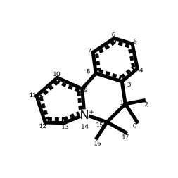 CC1(C)c2ccccc2-c2cccc[n+]2C1(C)C